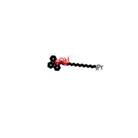 CC(C)CCCCCCCCCCCCCCOCC(O)COC(c1ccccc1)(c1ccccc1)c1ccccc1